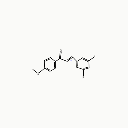 CSc1ccc(C(=O)/C=C/c2cc(F)cc(F)c2)cc1